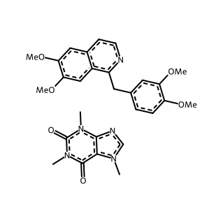 COc1ccc(Cc2nccc3cc(OC)c(OC)cc23)cc1OC.Cn1c(=O)c2c(ncn2C)n(C)c1=O